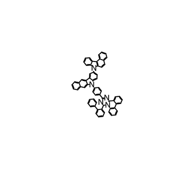 c1ccc(-c2ccccc2-c2nc(-c3ccc(-n4c5ccc(-n6c7ccccc7c7c8ccccc8ccc76)cc5c5cc6ccccc6cc54)cc3)nc(-c3ccccc3-c3ccccc3)n2)cc1